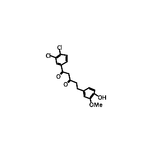 COc1cc(CCC(=O)CC(=O)c2ccc(Cl)c(Cl)c2)ccc1O